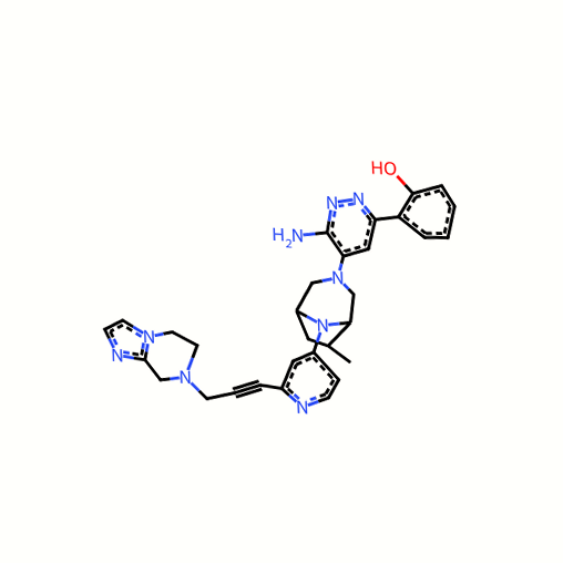 CC1CC2CN(c3cc(-c4ccccc4O)nnc3N)CC1N2c1ccnc(C#CCN2CCn3ccnc3C2)c1